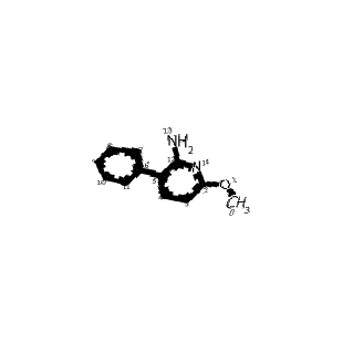 COc1ccc(-c2ccccc2)c(N)n1